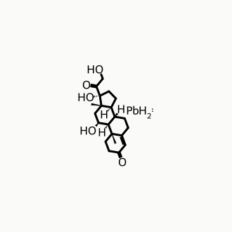 C[C@]12CCC(=O)C=C1CC[C@@H]1[C@@H]2[C@@H](O)C[C@@]2(C)[C@H]1CC[C@]2(O)C(=O)CO.[PbH2]